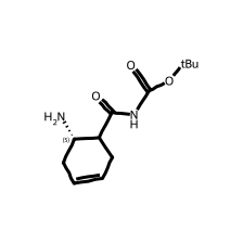 CC(C)(C)OC(=O)NC(=O)C1CC=CC[C@@H]1N